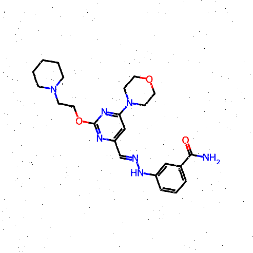 NC(=O)c1cccc(N/N=C/c2cc(N3CCOCC3)nc(OCCN3CCCCC3)n2)c1